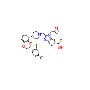 O=C(O)c1ccc2nc(CN3CCC(c4cccc5c4O[C@H](c4ccc(Cl)cc4F)CO5)CC3)n(C[C@@H]3CCO3)c2c1